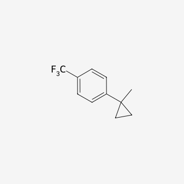 CC1(c2ccc(C(F)(F)F)cc2)CC1